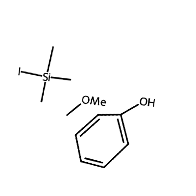 COC.C[Si](C)(C)I.Oc1ccccc1